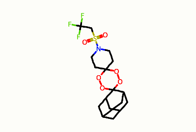 O=S(=O)(CC(F)(F)F)N1CCC2(CC1)OOC1(OO2)C2CC3CC(C2)CC1C3